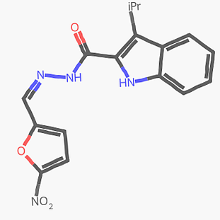 CC(C)c1c(C(=O)N/N=C\c2ccc([N+](=O)[O-])o2)[nH]c2ccccc12